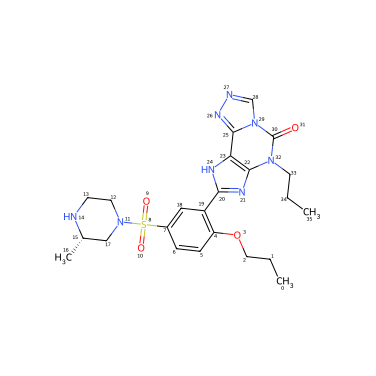 CCCOc1ccc(S(=O)(=O)N2CCN[C@@H](C)C2)cc1-c1nc2c([nH]1)c1nncn1c(=O)n2CCC